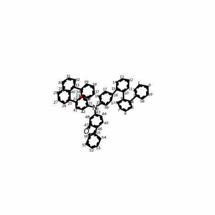 c1ccc(-c2ccccc2-c2ccccc2-c2ccc(N(c3ccc(-c4cccc5cccc(-c6ccccc6)c45)cc3)c3ccc4c(c3)oc3ccccc34)cc2)cc1